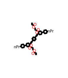 C=CC(=O)OCCC(=O)OC1(C#Cc2ccc(C#CC3(OC(=O)CCOC(=O)C=C)CCC(C4CCC(CCC)CC4)CC3)cc2)CCC(C2CCC(CCC)CC2)CC1